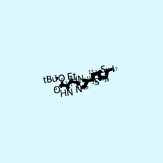 CCC(C(=N)C(=O)OC(C)(C)C)c1ncc(-c2cc3sc(I)cc3s2)[nH]1